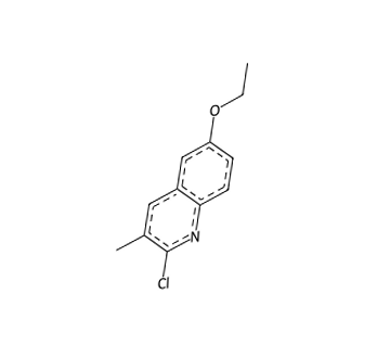 CCOc1ccc2nc(Cl)c(C)cc2c1